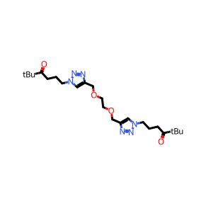 CC(C)(C)C(=O)CCCn1cc(COCCOCc2cn(CCCC(=O)C(C)(C)C)nn2)nn1